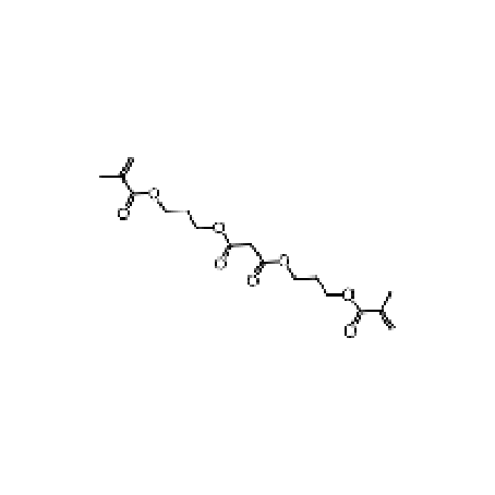 C=C(C)C(=O)OCCCOC(=O)CC(=O)OCCCOC(=O)C(=C)C